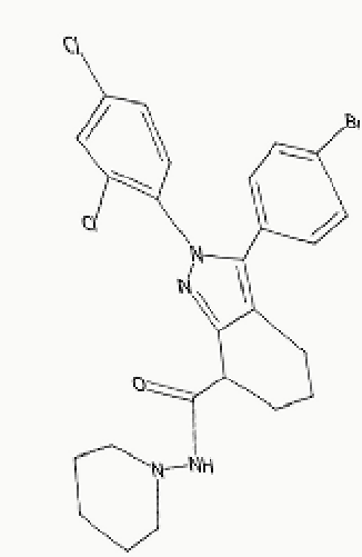 O=C(NN1CCCCC1)C1CCCc2c1nn(-c1ccc(Cl)cc1Cl)c2-c1ccc(Br)cc1